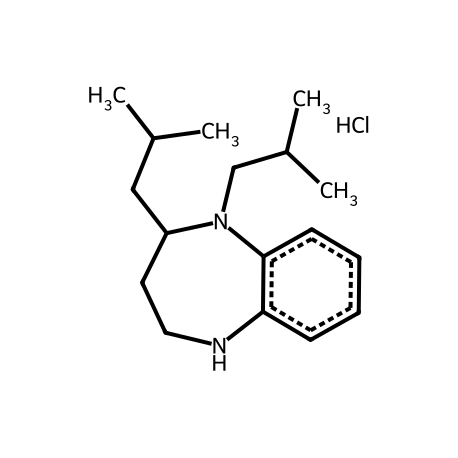 CC(C)CC1CCNc2ccccc2N1CC(C)C.Cl